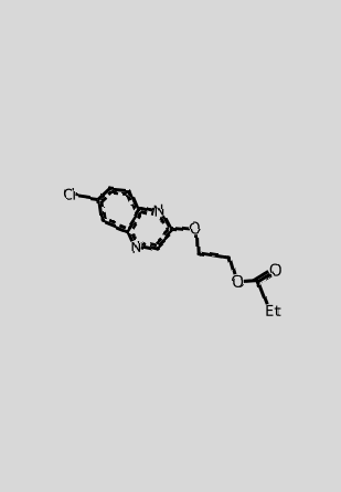 CCC(=O)OCCOc1cnc2cc(Cl)ccc2n1